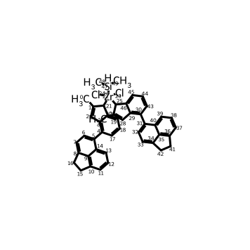 CC1=Cc2c(-c3ccc4c5c(cccc35)CC4)cccc2[CH]1[Zr]([Cl])([Cl])([CH]1C(C)=Cc2c(-c3ccc4c5c(cccc35)CC4)cccc21)[SiH](C)C